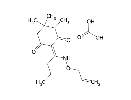 C=CCONC(CCC)=C1C(=O)CC(C)(C)C(C)C1=O.O=C(O)O